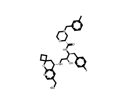 Cc1cccc(CN2CCO[C@@H](C(=O)N[C@@H](Cc3ccc(F)cc3)[C@@H](O)CN[C@H]3CC4(CCC4)Oc4ncc(CC(C)(C)C)cc43)C2)c1